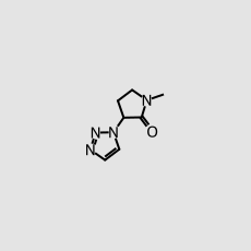 CN1CCC(n2ccnn2)C1=O